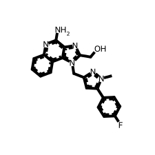 Cn1nc(Cn2c(CO)nc3c(N)nc4ccccc4c32)cc1-c1ccc(F)cc1